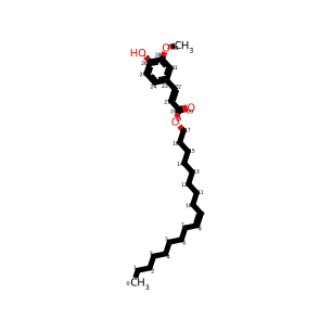 CCCCCCCC/C=C\CCCCCCCCOC(=O)C=Cc1ccc(O)c(OC)c1